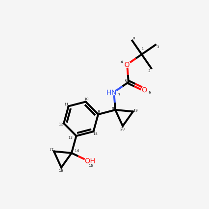 CC(C)(C)OC(=O)NC1(c2cccc(C3(O)CC3)c2)CC1